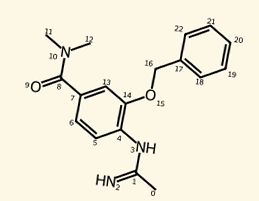 CC(=N)Nc1ccc(C(=O)N(C)C)cc1OCc1ccccc1